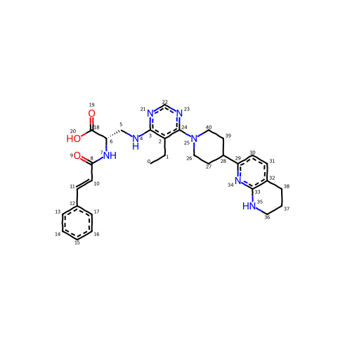 CCc1c(NC[C@H](NC(=O)/C=C/c2ccccc2)C(=O)O)ncnc1N1CCC(c2ccc3c(n2)NCCC3)CC1